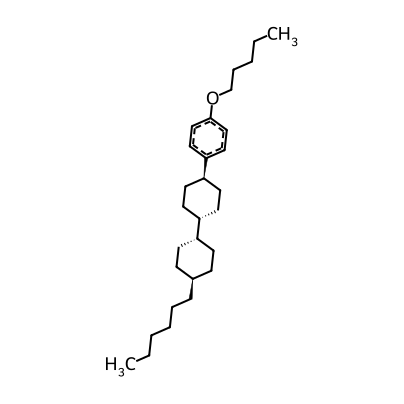 CCCCCC[C@H]1CC[C@H]([C@H]2CC[C@H](c3ccc(OCCCCC)cc3)CC2)CC1